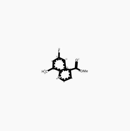 COC(=O)c1ccnc2c(C)cc(F)cc12